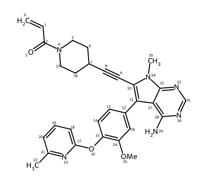 C=CC(=O)N1CCC(C#Cc2c(-c3ccc(Oc4cccc(C)n4)c(OC)c3)c3c(N)ncnc3n2C)CC1